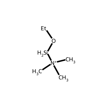 CCO[SiH2][N+](C)(C)C